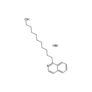 Br.OCCCCCCCCCCc1nccc2ccccc12